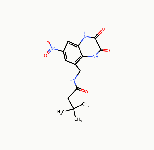 CC(C)(C)CC(=O)NCc1cc([N+](=O)[O-])cc2[nH]c(=O)c(=O)[nH]c12